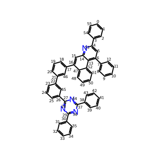 c1ccc(-c2cc(-c3ccccc3)c3c(cc(-c4cccc(-c5cccc(-c6nc(-c7ccccc7)nc(-c7ccccc7)n6)c5)c4)c4ccccc43)n2)cc1